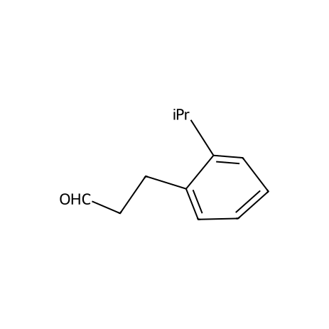 CC(C)c1ccccc1CCC=O